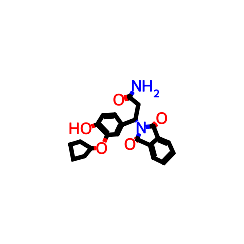 NC(=O)CC(c1ccc(O)c(OC2CCCC2)c1)N1C(=O)c2ccccc2C1=O